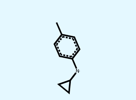 Cc1ccc([N]C2CC2)cc1